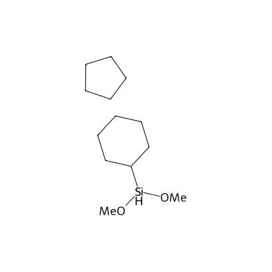 C1CCCC1.CO[SiH](OC)C1CCCCC1